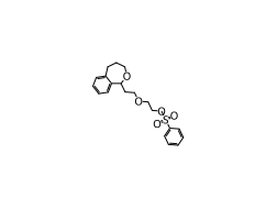 O=S(=O)(OCCOCCC1OCCCc2ccccc21)c1ccccc1